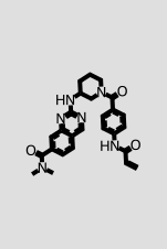 C=CC(=O)Nc1ccc(C(=O)N2CCCC(Nc3ncc4ccc(C(=O)N(C)C)cc4n3)C2)cc1